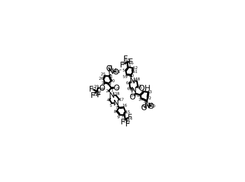 O=C(CN1CCN(c2ccc(C(F)(F)F)cc2)CC1)c1cc([N+](=O)[O-])ccc1OCC(F)(F)F.O=C(c1cc([N+](=O)[O-])ccc1O)N1CCN(c2ccc(C(F)(F)F)cc2)CC1